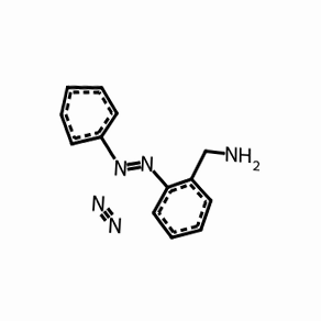 N#N.NCc1ccccc1N=Nc1ccccc1